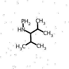 CC(C)C(NP)C(C)C